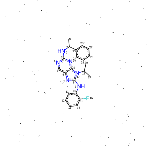 CC(Nc1ncc2nc(Nc3ccccc3F)n(C(C)C)c2n1)c1ccccc1